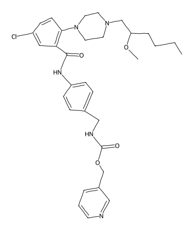 CCCCC(CN1CCN(c2ccc(Cl)cc2C(=O)Nc2ccc(CNC(=O)OCc3cccnc3)cc2)CC1)OC